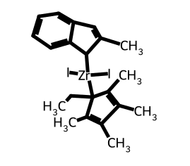 CC[C]1([Zr]([I])([I])[CH]2C(C)=Cc3ccccc32)C(C)=C(C)C(C)=C1C